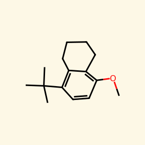 COc1ccc(C(C)(C)C)c2c1CCCC2